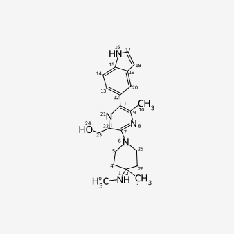 CNC1(C)CCN(c2nc(C)c(-c3ccc4[nH]ccc4c3)nc2CO)CC1